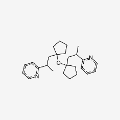 CC(CC1(OC2(CC(C)c3ccccn3)CCCC2)CCCC1)c1ccccn1